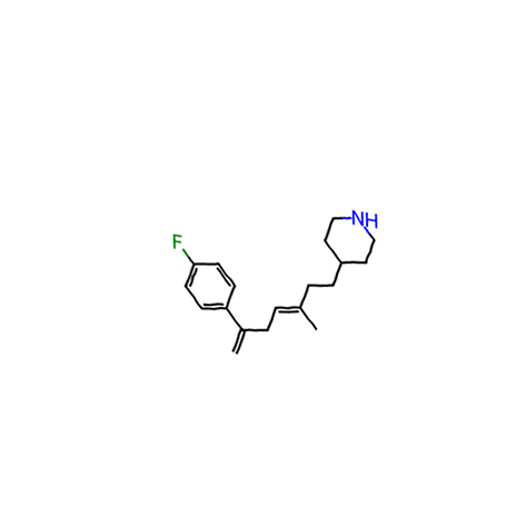 C=C(C/C=C(\C)CCC1CCNCC1)c1ccc(F)cc1